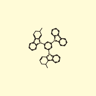 CC1C=c2c(c3ccccc3n2-c2cc(-n3c4c(c5ccccc53)C(C)CC=C4)cc(-n3c4ccccc4c4ccccc43)c2)=CC1